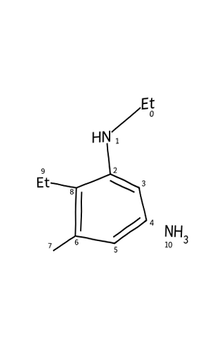 CCNc1cccc(C)c1CC.N